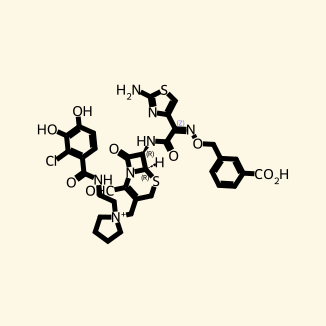 Nc1nc(/C(=N/OCc2cccc(C(=O)O)c2)C(=O)N[C@@H]2C(=O)N3C(C=O)=C(C[N+]4(CCNC(=O)c5ccc(O)c(O)c5Cl)CCCC4)CS[C@H]23)cs1